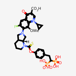 COc1c(N2CC3CCCN(C(=S)Oc4ccc(CC(P(=O)(O)O)P(=O)(O)O)cc4)[C@H]3C2)c(F)cc2c(=O)c(C(=O)O)cn(C3CC3)c12